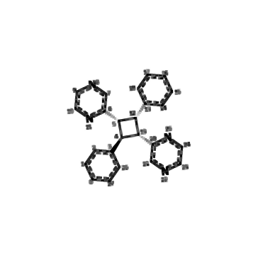 c1ccc([C@H]2[C@H](c3cnccn3)[C@H](c3ccccc3)[C@@H]2c2cnccn2)cc1